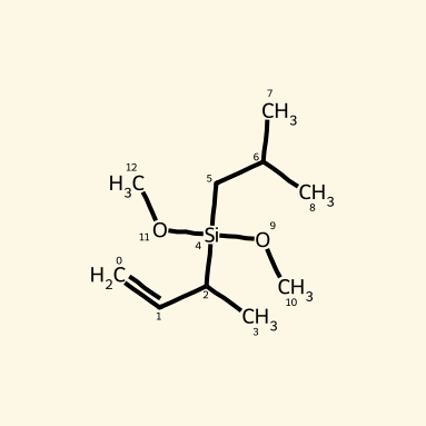 C=CC(C)[Si](CC(C)C)(OC)OC